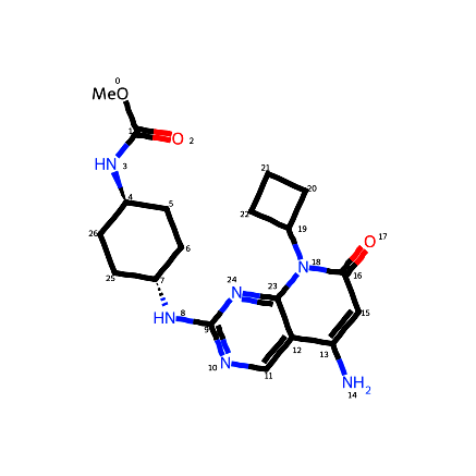 COC(=O)N[C@H]1CC[C@H](Nc2ncc3c(N)cc(=O)n(C4CCC4)c3n2)CC1